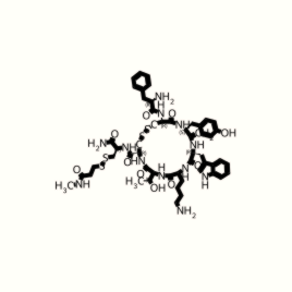 C=C1N[C@H](Cc2c[nH]c3ccccc23)C(=O)NC(CCCCN)C(=O)NC([C@@H](C)O)C(=O)N[C@H](C(=O)N[C@@H](CSSCCC(=O)NC)C(N)=O)CSSC[C@H](NC(=O)[C@H](N)Cc2ccccc2)C(=O)N[C@H]1Cc1ccc(O)cc1